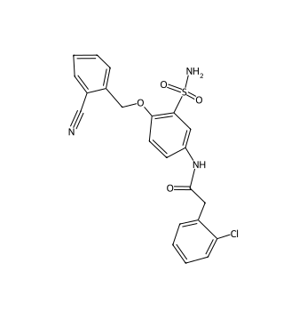 N#Cc1ccccc1COc1ccc(NC(=O)Cc2ccccc2Cl)cc1S(N)(=O)=O